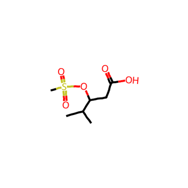 CC(C)C(CC(=O)O)OS(C)(=O)=O